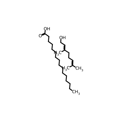 CC(C)=CCC/C(C)=C/CO.CCCCCCCCCCCCCCCC(=O)O